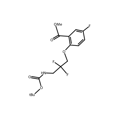 COC(=O)c1cc(F)ccc1OCC(F)(F)CNC(=O)OC(C)(C)C